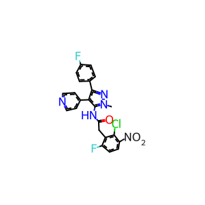 Cn1nc(-c2ccc(F)cc2)c(-c2ccncc2)c1NC(=O)Cc1c(F)ccc([N+](=O)[O-])c1Cl